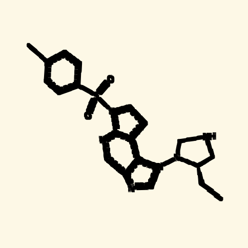 CC[C@@H]1CNCN1n1cnc2cnc3c(ccn3S(=O)(=O)c3ccc(C)cc3)c21